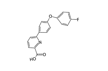 O=C(O)c1cccc(-c2ccc(Oc3ccc(F)cc3)cc2)n1